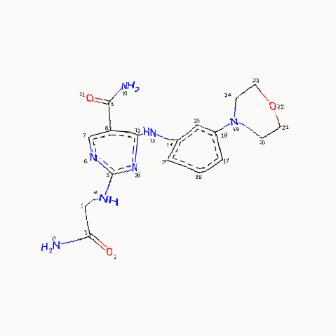 NC(=O)CNc1ncc(C(N)=O)c(Nc2cccc(N3CCOCC3)c2)n1